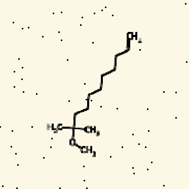 C=CCCCCCCCC(C)(C)OC